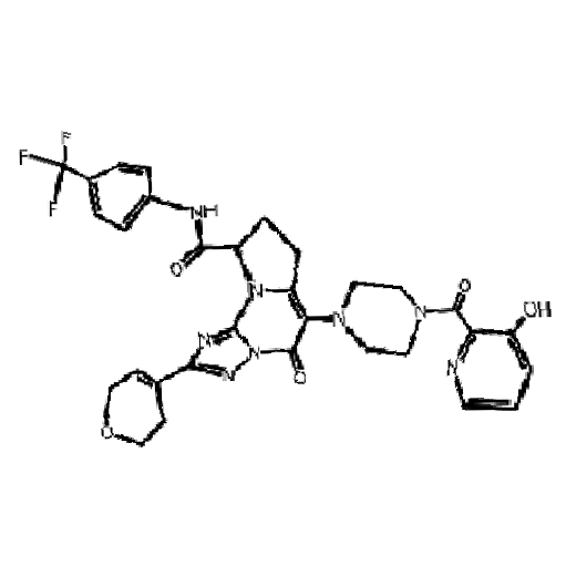 O=C(Nc1ccc(C(F)(F)F)cc1)C1CCc2c(N3CCN(C(=O)c4ncccc4O)CC3)c(=O)n3nc(C4=CCOCC4)nc3n21